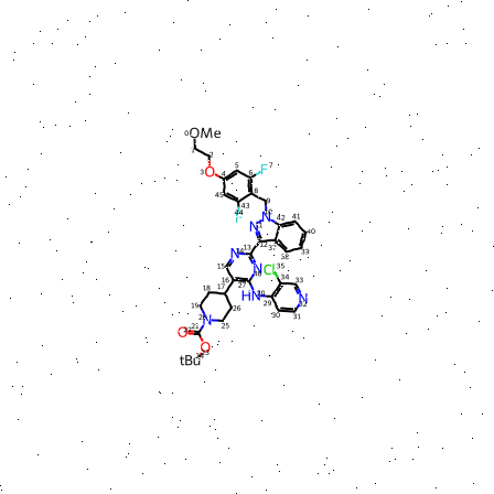 COCCOc1cc(F)c(Cn2nc(-c3ncc(C4CCN(C(=O)OC(C)(C)C)CC4)c(Nc4ccncc4Cl)n3)c3ccccc32)c(F)c1